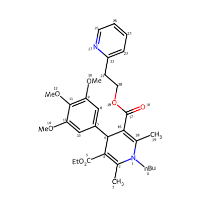 CCCCN1C(C)=C(C(=O)OCC)C(c2cc(OC)c(OC)c(OC)c2)C(C(=O)OCCc2ccccn2)=C1C